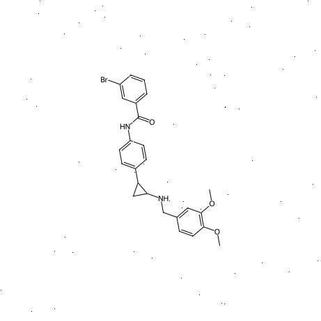 COc1ccc(CNC2CC2c2ccc(NC(=O)c3cccc(Br)c3)cc2)cc1OC